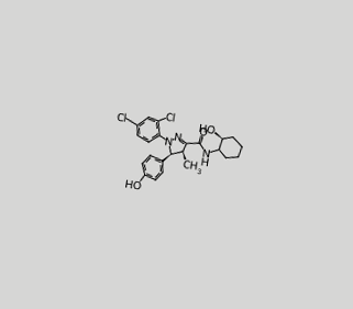 C[C@@H]1C(C(=O)NC2CCCC[C@@H]2O)=NN(c2ccc(Cl)cc2Cl)[C@@H]1c1ccc(O)cc1